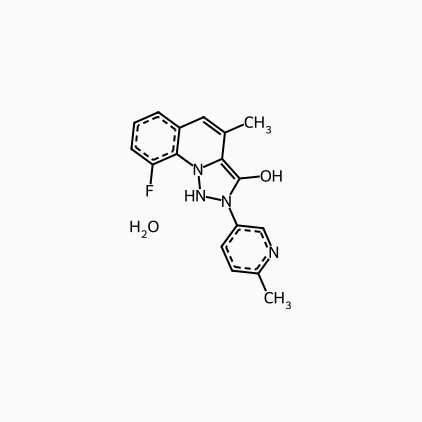 CC1=Cc2cccc(F)c2N2NN(c3ccc(C)nc3)C(O)=C12.O